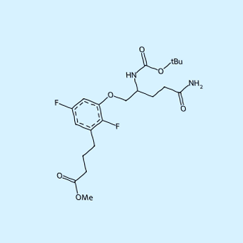 COC(=O)CCCc1cc(F)cc(OCC(CCC(N)=O)NC(=O)OC(C)(C)C)c1F